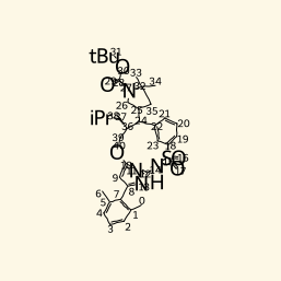 Cc1cccc(C)c1-c1cc2nc(n1)NS(=O)(=O)c1cccc(c1)C(C1CN(C(=O)OC(C)(C)C)C(C)(C)C1)[C@H](CC(C)C)CO2